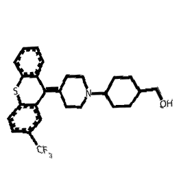 OCC1CCC(N2CCC(=C3c4ccccc4Sc4ccc(C(F)(F)F)cc43)CC2)CC1